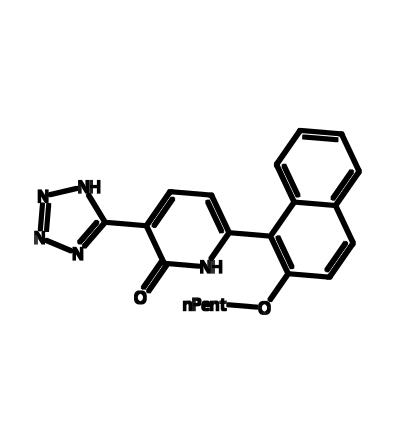 CCCCCOc1ccc2ccccc2c1-c1ccc(-c2nnn[nH]2)c(=O)[nH]1